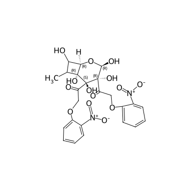 CC1C(O)[C@H]2O[C@@H](O)[C@@](O)(C(=O)COc3ccccc3[N+](=O)[O-])[C@](O)(C(=O)COc3ccccc3[N+](=O)[O-])[C@@]12O